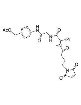 CC(=O)OCc1ccc(NC(=O)CNC(=O)C(NC(=O)CCCN2C(=O)C=CC2=O)C(C)C)cc1